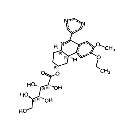 CCOc1cc2c(cc1OC)C(c1cncnc1)=N[C@@H]1CC[C@@H](OC(=O)[C@H](O)[C@@H](O)[C@H](O)[C@H](O)CO)C[C@H]21